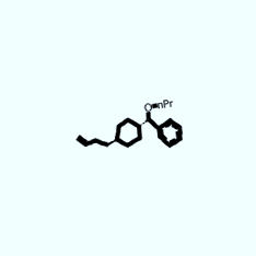 C=CCC[C@H]1CC[C@H](C(OCCC)c2ccccc2)CC1